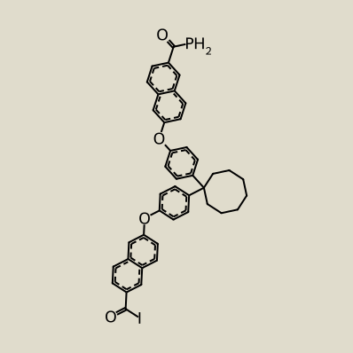 O=C(P)c1ccc2cc(Oc3ccc(C4(c5ccc(Oc6ccc7cc(C(=O)I)ccc7c6)cc5)CCCCCCC4)cc3)ccc2c1